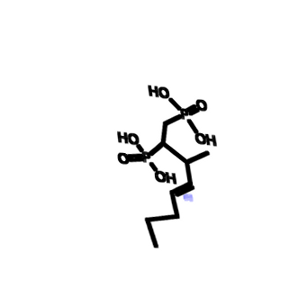 CCC/C=C/C(C)C(CP(=O)(O)O)P(=O)(O)O